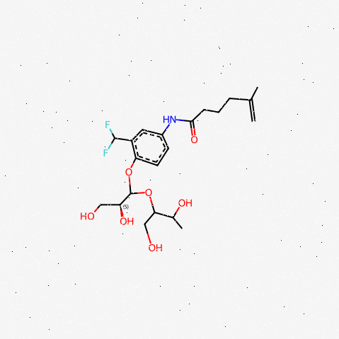 C=C(C)CCCC(=O)Nc1ccc(OC(OC(CO)C(C)O)[C@@H](O)CO)c(C(F)F)c1